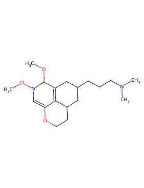 COC1C2=C3C(=CN1OC)OCCC3CC(CCCN(C)C)C2